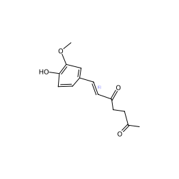 COc1cc(/C=C/C(=O)CCC(C)=O)ccc1O